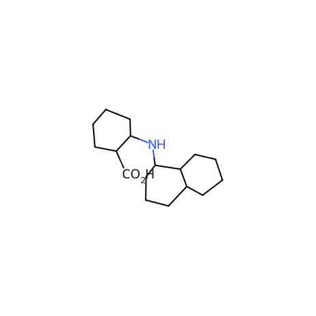 O=C(O)C1CCCCC1NC1CCCC2CCCCC21